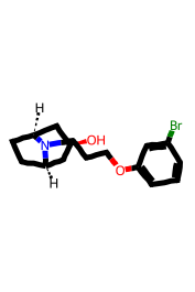 O[C@H]1C[C@H]2CC[C@@H](C1)N2CCCOc1cccc(Br)c1